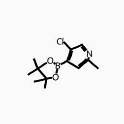 Cc1cc(B2OC(C)(C)C(C)(C)O2)c(Cl)cn1